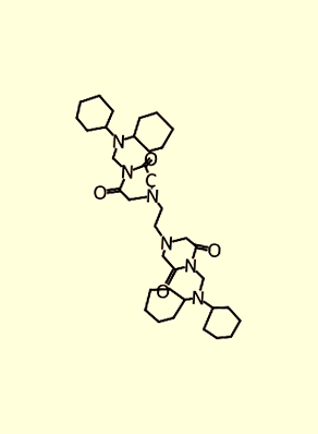 O=C1CN(CCN2CC(=O)N(CN(C3CCCCC3)C3CCCCC3)C(=O)C2)CC(=O)N1CN(C1CCCCC1)C1CCCCC1